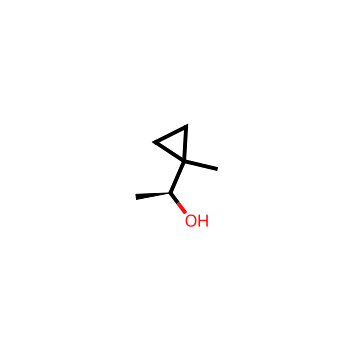 C[C@H](O)C1(C)CC1